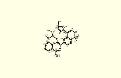 COC(CC(=Cc1ccc2c(c1)C(c1ccc(C)s1)=CCC2(C)C)c1ccccc1C(=O)O)OC